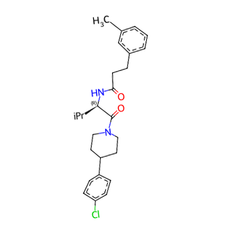 Cc1cccc(CCC(=O)N[C@@H](C(=O)N2CCC(c3ccc(Cl)cc3)CC2)C(C)C)c1